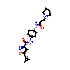 O=C(CCN1CCCC1)N[C@H]1CC[C@H](NC(=O)c2cc(C3CC3)on2)CC1